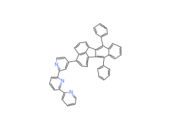 c1ccc(-c2c3c(c(-c4ccccc4)c4ccccc24)-c2ccc(-c4ccnc(-c5cccc(-c6ccccn6)n5)c4)c4cccc-3c24)cc1